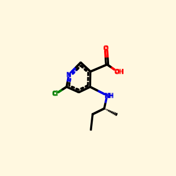 CC[C@@H](C)Nc1cc(Cl)ncc1C(=O)O